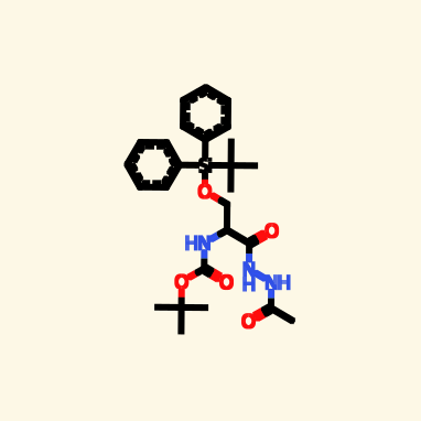 CC(=O)NNC(=O)C(CO[Si](c1ccccc1)(c1ccccc1)C(C)(C)C)NC(=O)OC(C)(C)C